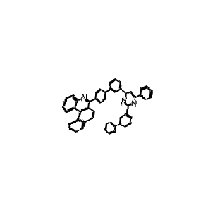 c1ccc(-c2cccc(-c3nc(-c4ccccc4)cc(-c4cccc(-c5ccc(-c6nc7ccccc7c7c6ccc6ccccc67)cc5)c4)n3)c2)cc1